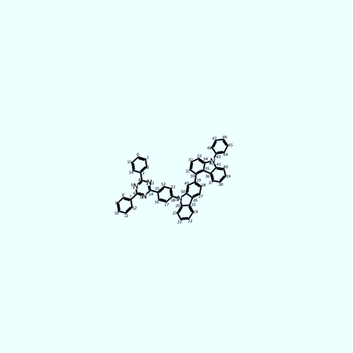 c1ccc(-c2nc(-c3ccccc3)nc(-c3ccc(-n4c5ccccc5c5ccc(-c6cccc7c6c6ccccc6n7-c6ccccc6)cc54)cc3)n2)cc1